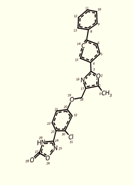 Cc1oc(-c2ccc(-c3ccccc3)cc2)nc1COc1ccc(-c2noc(=O)[nH]2)c(Cl)c1